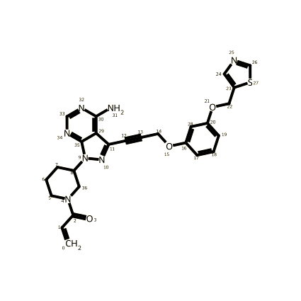 C=CC(=O)N1CCCC(n2nc(C#CCOc3cccc(OCc4cncs4)c3)c3c(N)ncnc32)C1